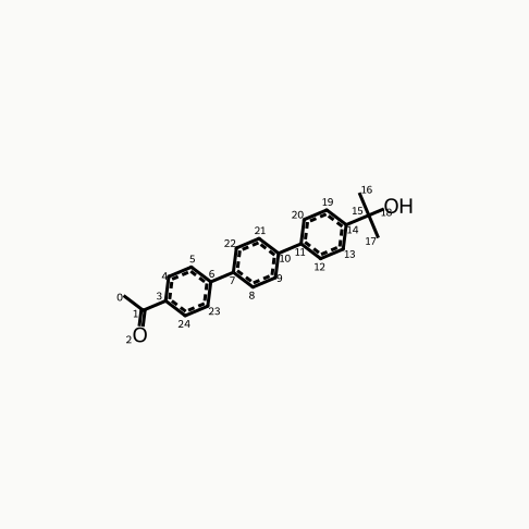 CC(=O)c1ccc(-c2ccc(-c3ccc(C(C)(C)O)cc3)cc2)cc1